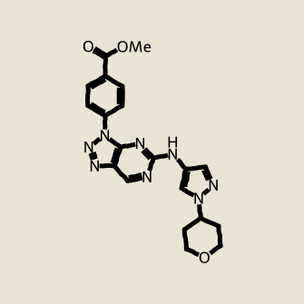 COC(=O)c1ccc(-n2nnc3cnc(Nc4cnn(C5CCOCC5)c4)nc32)cc1